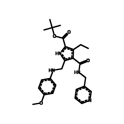 CCc1c(C(=O)OC(C)(C)C)[nH]c(CNc2ccc(OC)cc2)c1C(=O)NCc1cccnc1